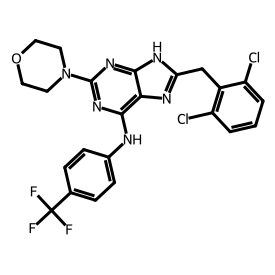 FC(F)(F)c1ccc(Nc2nc(N3CCOCC3)nc3[nH]c(Cc4c(Cl)cccc4Cl)nc23)cc1